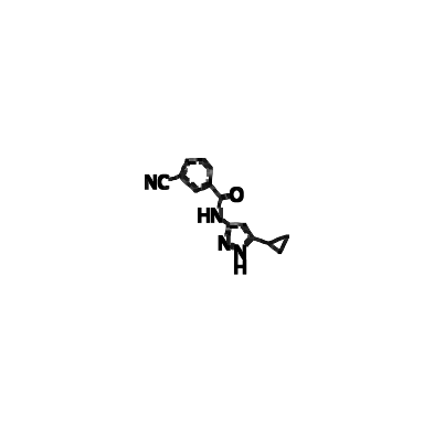 N#Cc1cccc(C(=O)Nc2cc(C3CC3)[nH]n2)c1